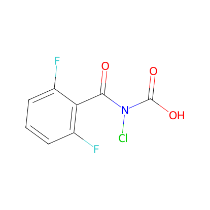 O=C(O)N(Cl)C(=O)c1c(F)cccc1F